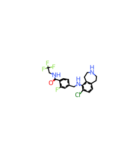 O=C(NCC(F)(F)F)c1ccc(CNc2c(Cl)ccc3c2CCNCC3)cc1F